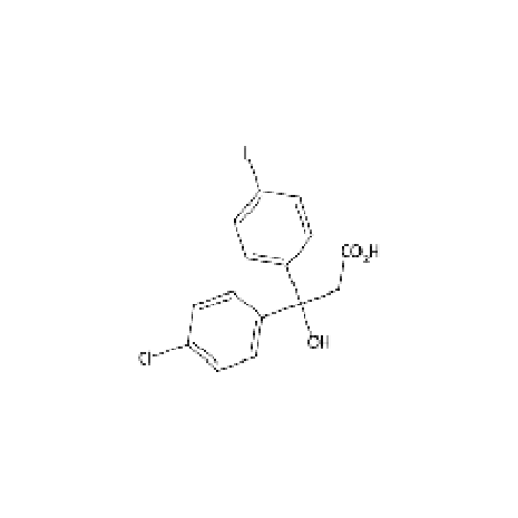 O=C(O)CC(O)(c1ccc(Cl)cc1)c1ccc(I)cc1